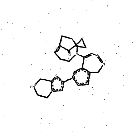 O=C(/C1=C\CCN(C2=CC=NCc3ccc(-c4cc5c(s4)CNCC5)cc32)CCC1)C1CC1